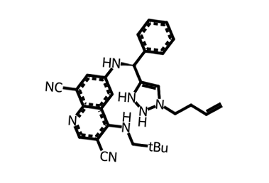 C=CCCN1C=C([C@@H](Nc2cc(C#N)c3ncc(C#N)c(NCC(C)(C)C)c3c2)c2ccccc2)NN1